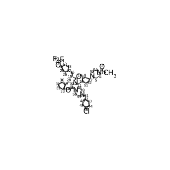 CC(=O)N1CCN(c2ccc(CN(C(=O)/C=C/c3ccc(OC(F)F)cc3)[C@@H](Cc3ccccc3)C(=O)N3CCN(Cc4ccc(Cl)cc4)CC3)cc2)CC1